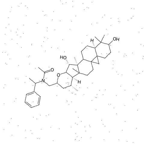 CC(=O)N(CC1C[C@@H](C)[C@H]2C(O1)[C@H](O)[C@@]1(C)C3CC[C@H]4C(C)(C)C(O)CCC45CC35CCC21C)C(C)c1ccccc1